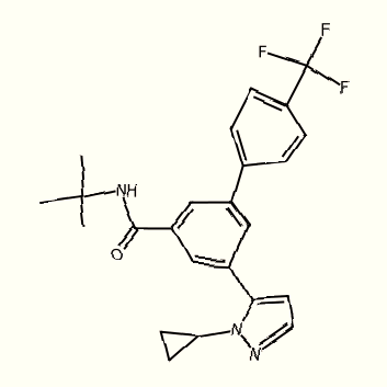 CC(C)(C)NC(=O)c1cc(-c2ccc(C(F)(F)F)cc2)cc(-c2ccnn2C2CC2)c1